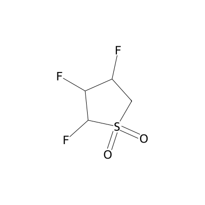 O=S1(=O)CC(F)C(F)C1F